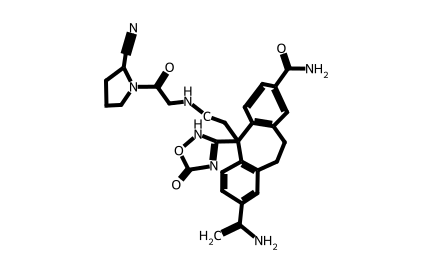 C=C(N)c1ccc2c(c1)CCc1cc(C(N)=O)ccc1C2(CCNCC(=O)N1CCCC1C#N)c1nc(=O)o[nH]1